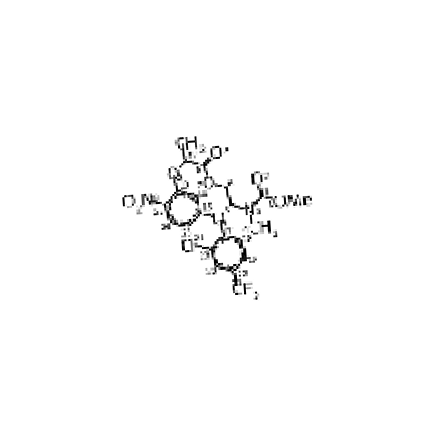 COC(=O)N(C)CCOC(=O)C(C)Oc1cc(Oc2ccc(C(F)(F)F)cc2Cl)ccc1[N+](=O)[O-]